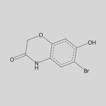 O=C1COc2cc(O)c(Br)cc2N1